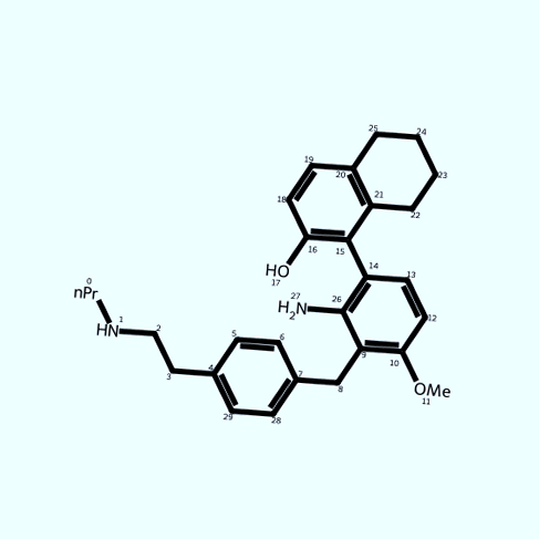 CCCNCCc1ccc(Cc2c(OC)ccc(-c3c(O)ccc4c3CCCC4)c2N)cc1